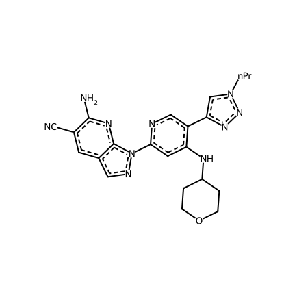 CCCn1cc(-c2cnc(-n3ncc4cc(C#N)c(N)nc43)cc2NC2CCOCC2)nn1